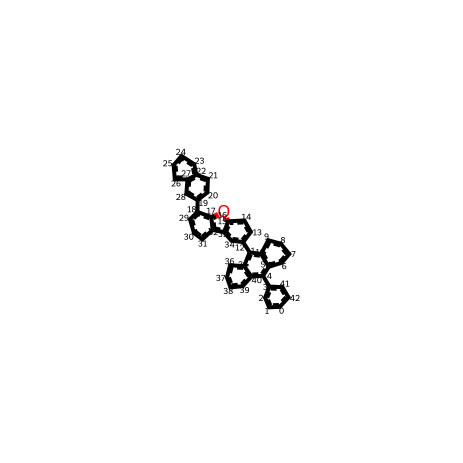 c1ccc(-c2c3ccccc3c(-c3ccc4oc5c(-c6ccc7ccccc7c6)cccc5c4c3)c3ccccc23)cc1